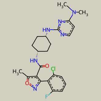 Cc1onc(-c2c(F)cccc2Cl)c1C(=O)N[C@H]1CC[C@@H](Nc2nccc(N(C)C)n2)CC1